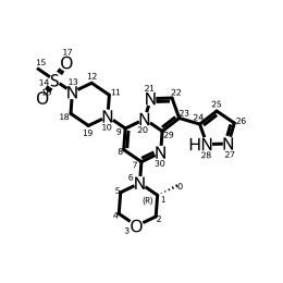 C[C@@H]1COCCN1c1cc(N2CCN(S(C)(=O)=O)CC2)n2ncc(-c3ccn[nH]3)c2n1